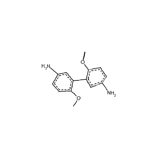 COc1ccc(N)cc1-c1cc(N)ccc1OC